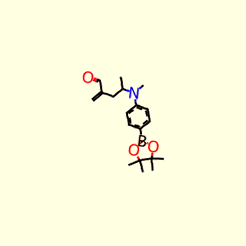 C=C(C=O)CC(C)N(C)c1ccc(B2OC(C)(C)C(C)(C)O2)cc1